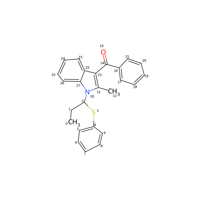 CCC(Sc1ccccc1)n1c(C)c(C(=O)c2ccccc2)c2ccccc21